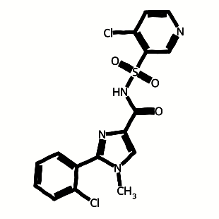 Cn1cc(C(=O)NS(=O)(=O)c2cnccc2Cl)nc1-c1ccccc1Cl